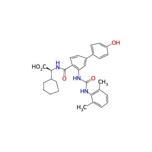 Cc1cccc(C)c1NC(=O)Nc1cc(-c2ccc(O)cc2)ccc1C(=O)N[C@H](C(=O)O)C1CCCCC1